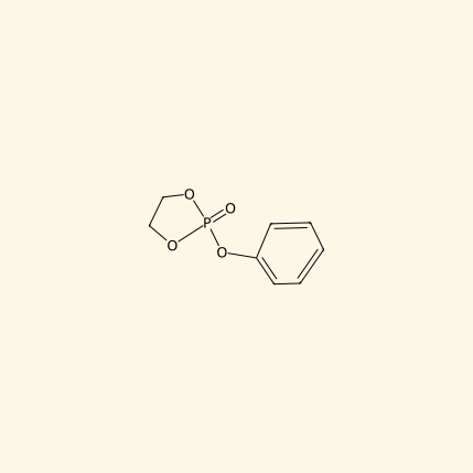 O=P1(Oc2ccccc2)OCCO1